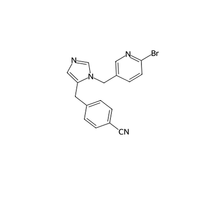 N#Cc1ccc(Cc2cncn2Cc2ccc(Br)nc2)cc1